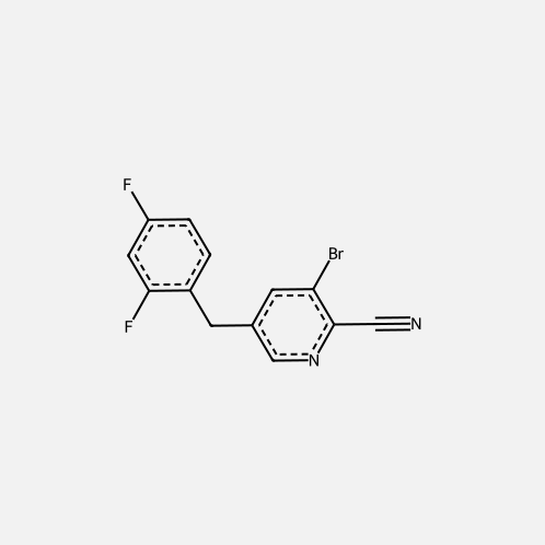 N#Cc1ncc(Cc2ccc(F)cc2F)cc1Br